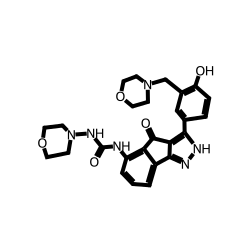 O=C(Nc1cccc2c1C(=O)c1c-2n[nH]c1-c1ccc(O)c(CN2CCOCC2)c1)NN1CCOCC1